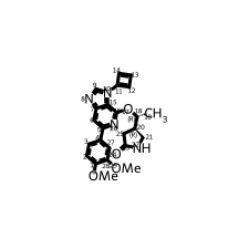 COc1ccc(-c2cc3ncn(C4=CC=C4)c3c(O[C@H](C)[C@H]3CNC(=O)C3)n2)cc1OC